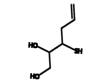 C=CCC(S)C(O)CO